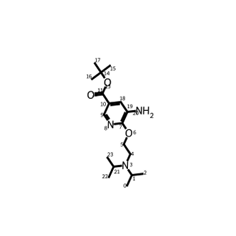 CC(C)N(CCOc1ncc(C(=O)OC(C)(C)C)cc1N)C(C)C